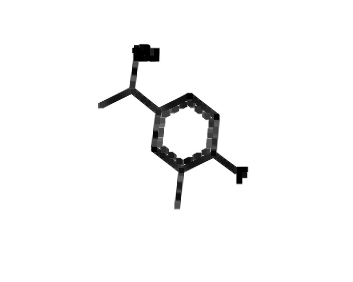 Cc1cc(C(C)C(C)(C)C)ccc1F